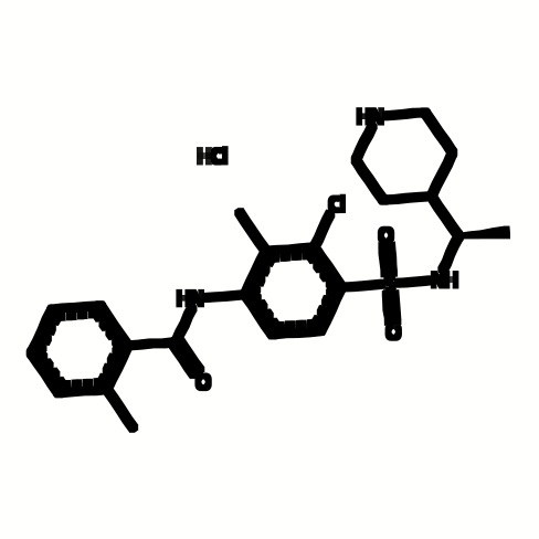 Cc1ccccc1C(=O)Nc1ccc(S(=O)(=O)N[C@H](C)C2CCNCC2)c(Cl)c1C.Cl